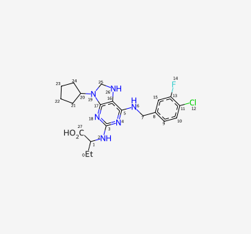 CCC(Nc1nc(NCc2ccc(Cl)c(F)c2)c2c(n1)N(C1CCCC1)CN2)C(=O)O